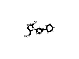 O=C1NCC(CO)N1c1cc(C2CCCCC2)on1